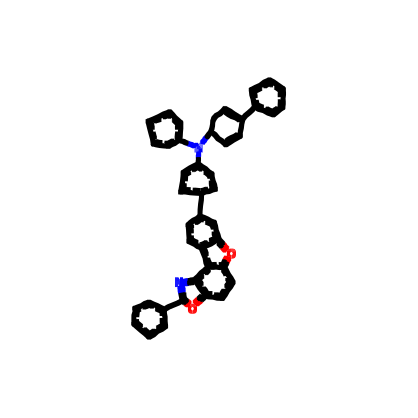 C1=CC(N(c2ccccc2)c2ccc(-c3ccc4c(c3)oc3ccc5oc(-c6ccccc6)nc5c34)cc2)CC=C1c1ccccc1